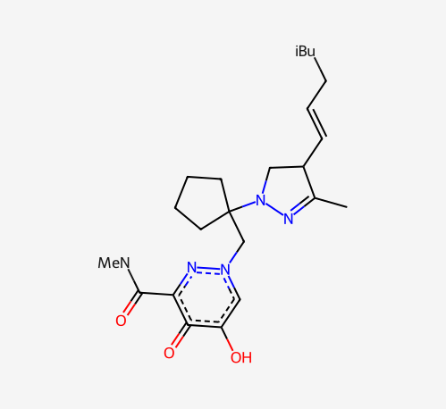 CCC(C)CC=CC1CN(C2(Cn3cc(O)c(=O)c(C(=O)NC)n3)CCCC2)N=C1C